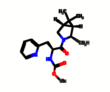 CC(C)(C)OC(=O)N[C@@H](Cc1ccccn1)C(=O)N1C[C@H]2[C@@H]([C@H]1C(=O)O)C2(C)C